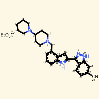 CCOC(=O)[C@@H]1CCCN(C2CCN(Cc3cccc4[nH]c(-c5n[nH]c6cc(C#N)ccc56)cc34)CC2)C1